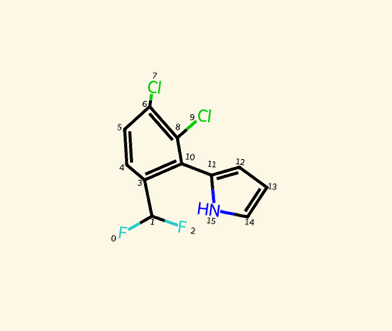 FC(F)c1ccc(Cl)c(Cl)c1-c1ccc[nH]1